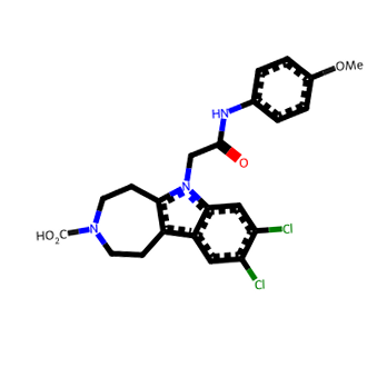 COc1ccc(NC(=O)Cn2c3c(c4cc(Cl)c(Cl)cc42)CCN(C(=O)O)CC3)cc1